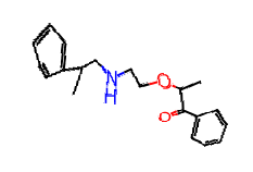 CC(OCCNCC(C)c1ccccc1)C(=O)c1ccccc1